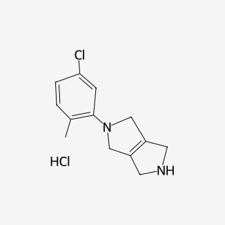 Cc1ccc(Cl)cc1N1CC2=C(CNC2)C1.Cl